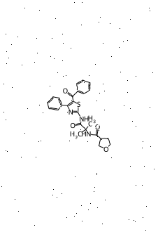 CC(C)(NC(=O)C1CCOC1)C(=O)Nc1nc(-c2ccccc2)c(C(=O)c2ccccc2)s1